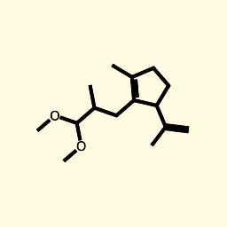 C=C(C)C1CCC(C)=C1CC(C)C(OC)OC